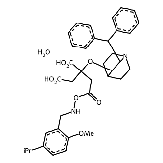 COc1ccc(C(C)C)cc1CNOC(=O)CC(CC(=O)O)(OC1C2CCN(CC2)C1C(c1ccccc1)c1ccccc1)C(=O)O.O